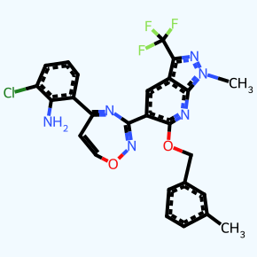 Cc1cccc(COc2nc3c(cc2C2=NOC=CC(c4cccc(Cl)c4N)=N2)c(C(F)(F)F)nn3C)c1